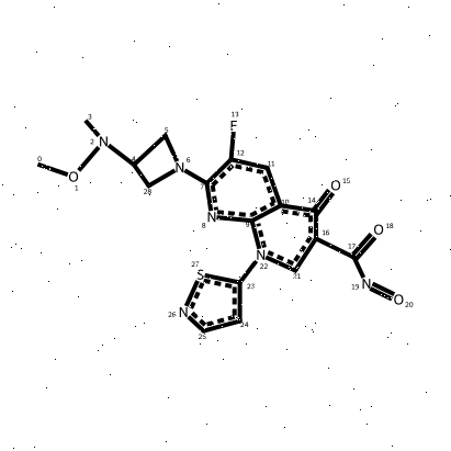 CON(C)C1CN(c2nc3c(cc2F)c(=O)c(C(=O)N=O)cn3-c2ccns2)C1